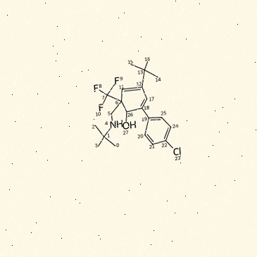 CC(C)(C)NCC1(C(F)(F)F)C=C(C(C)(C)C)C=C(c2ccc(Cl)cc2)C1O